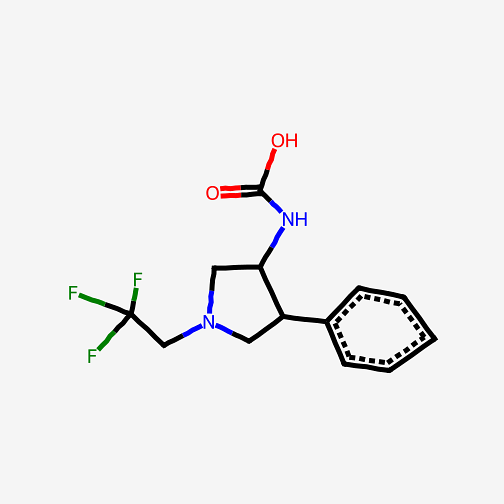 O=C(O)NC1CN(CC(F)(F)F)CC1c1ccccc1